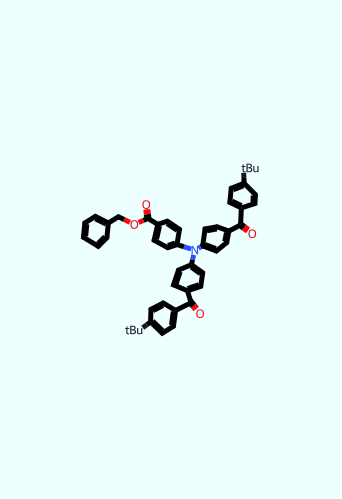 CC(C)(C)c1ccc(C(=O)c2ccc(N(c3ccc(C(=O)OCc4ccccc4)cc3)c3ccc(C(=O)c4ccc(C(C)(C)C)cc4)cc3)cc2)cc1